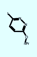 CCCOc1ccc(I)nn1